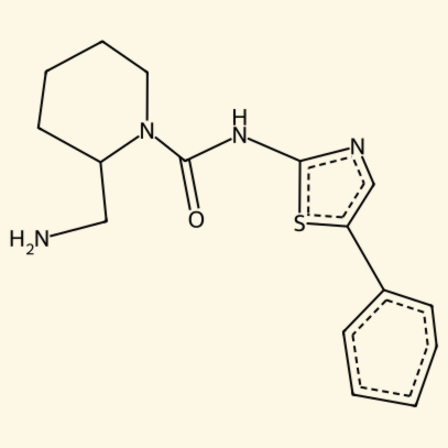 NCC1CCCCN1C(=O)Nc1ncc(-c2ccccc2)s1